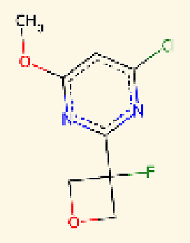 COc1cc(Cl)nc(C2(F)COC2)n1